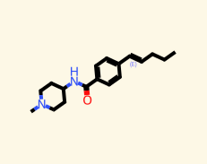 CCC/C=C/c1ccc(C(=O)NC2CCN(C)CC2)cc1